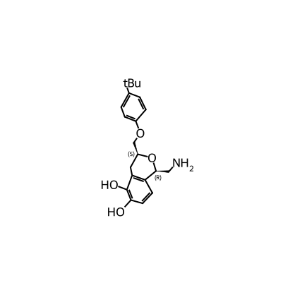 CC(C)(C)c1ccc(OC[C@@H]2Cc3c(ccc(O)c3O)[C@H](CN)O2)cc1